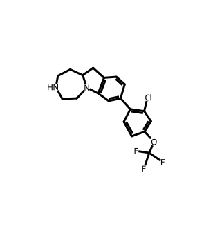 FC(F)(F)Oc1ccc(-c2ccc3c(c2)N2CCNCCC2C3)c(Cl)c1